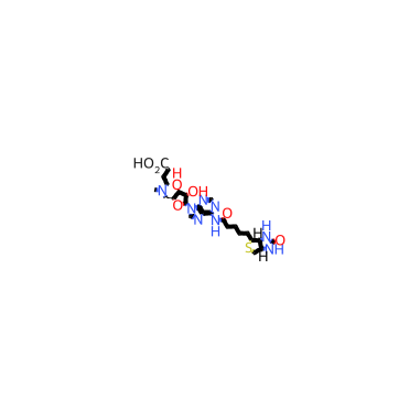 CN(CCCC(=O)O)C[C@H]1OC(n2cnc3c(NC(=O)CCCCC4SC[C@@H]5NC(=O)N[C@H]45)ncnc32)C(O)[C@@H]1O